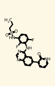 CCCS(=O)(=O)Nc1ccc(F)c(Nc2ncnc3ccc(-c4ccc[nH]c4=O)cc23)c1F